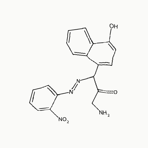 NCC(=O)C(N=Nc1ccccc1[N+](=O)[O-])c1ccc(O)c2ccccc12